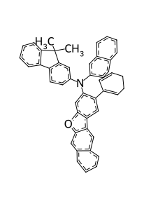 CC1(C)c2ccccc2-c2ccc(N(c3ccc4ccccc4c3)c3cc4oc5cc6ccccc6cc5c4cc3C3=CCCC=C3)cc21